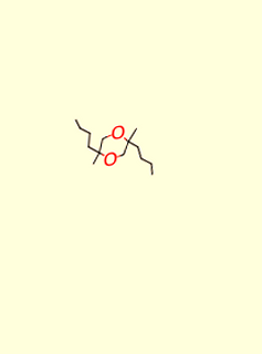 CCCCC1(C)COC(C)(CCCC)CO1